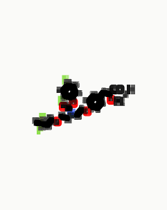 CCOC(Cc1ccc(OCCN(CCOCCC(C)(F)F)C(=O)Oc2ccc(F)cc2F)cc1)C(=O)O